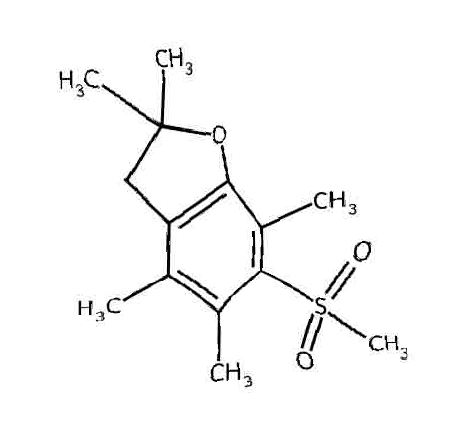 Cc1c(C)c(S(C)(=O)=O)c(C)c2c1CC(C)(C)O2